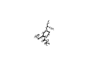 COC[C@@H](O)CN1CCN(C(=O)OC(C)(C)C)C(CO)C1